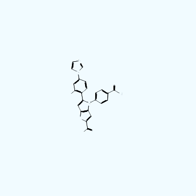 CC(=O)c1cc2c(cc(-c3ccc(-n4ccnc4)cc3F)n2-c2ccc(C(N)=O)cc2)s1